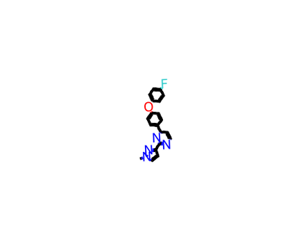 Cn1ccc(-c2nccc(-c3ccc(Oc4ccc(F)cc4)cc3)n2)n1